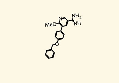 COc1ncc(C(=N)N)cc1-c1ccc(OCc2ccccc2)cc1